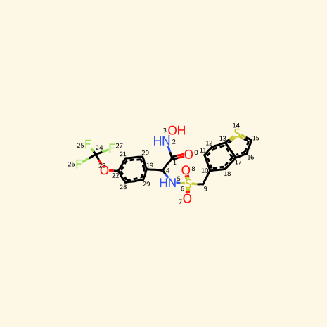 O=C(NO)C(NS(=O)(=O)Cc1ccc2sccc2c1)c1ccc(OC(F)(F)F)cc1